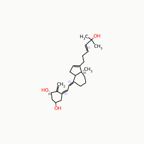 C=C1/C(=C\C=C2/CCC[C@]3(C)C(CC/C=C/C(C)(C)O)=CCC23)CC(O)C[C@@H]1O